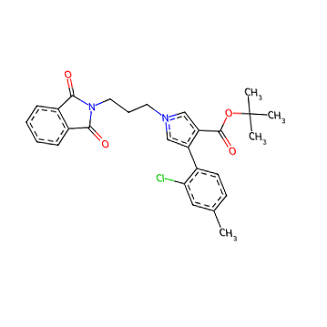 Cc1ccc(-c2cn(CCCN3C(=O)c4ccccc4C3=O)cc2C(=O)OC(C)(C)C)c(Cl)c1